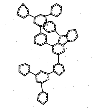 c1ccc(-c2cc(-c3ccccc3)nc(-c3cccc(-c4cc(-c5cccc(-c6nc(-c7ccccc7)cc(-c7ccccc7)n6)c5)c5c(c4)c4ccccc4n5-c4ccccc4)c3)n2)cc1